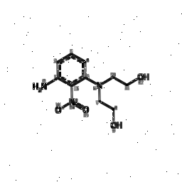 Nc1cccc(N(CCO)CCO)c1[N+](=O)[O-]